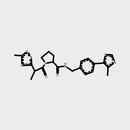 Cc1nc(C(C)C(=O)N2CCCC2C(=O)NCc2ccc(-c3scnc3C)cc2)ns1